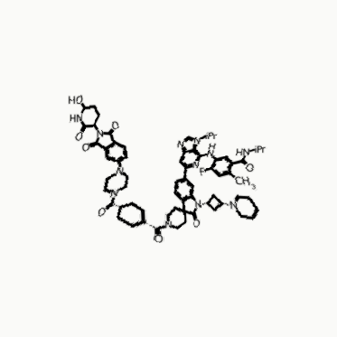 Cc1cc(F)c(Nc2nc(-c3ccc4c(c3)N([C@H]3C[C@@H](N5CCCCC5)C3)C(=O)C43CCN(C(=O)[C@H]4CC[C@@H](C(=O)N5CCN(c6ccc7c(c6)C(=O)N(C6CCC(O)NC6=O)C7=O)CC5)CC4)CC3)cc3ncn(C(C)C)c23)cc1C(=O)NC(C)C